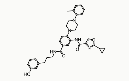 Cc1ccccc1N1CCN(c2ccc(C(=O)NCCCc3cccc(O)c3)cc2NC(=O)c2coc(C3CC3)n2)CC1